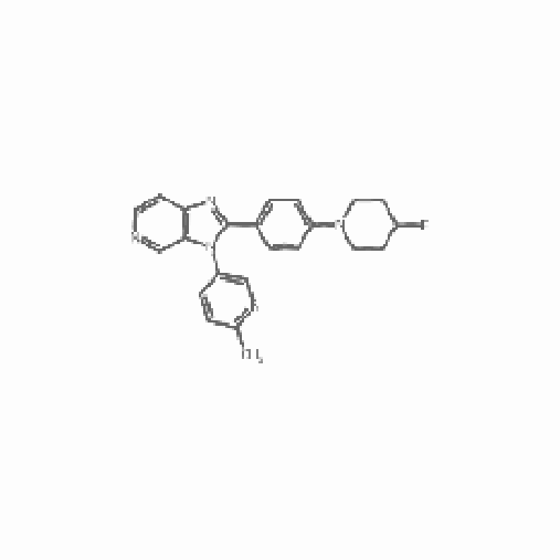 Cc1ccc(-n2c(-c3ccc(N4CCC(F)CC4)cc3)nc3ccncc32)cn1